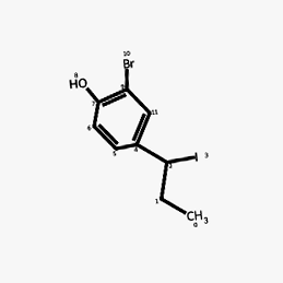 CCC(I)c1ccc(O)c(Br)c1